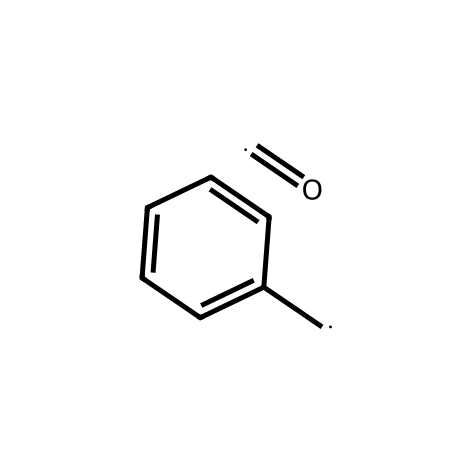 [CH2]c1ccccc1.[CH]=O